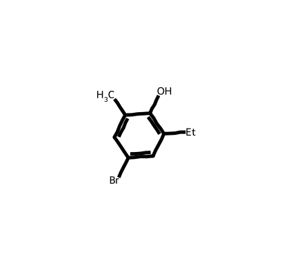 CCc1cc(Br)cc(C)c1O